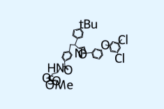 COS(=O)(=O)CCNC(=O)c1ccc(CC(c2ccc(C(C)(C)C)cc2)c2cc(-c3cccc(Oc4cc(Cl)cc(Cl)c4)c3)on2)cc1